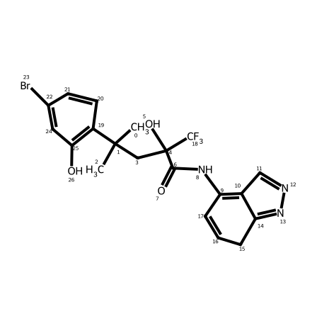 CC(C)(CC(O)(C(=O)NC1=C2C=NN=C2CC=C1)C(F)(F)F)c1ccc(Br)cc1O